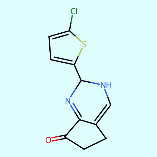 O=C1CCC2=CNC(c3ccc(Cl)s3)N=C12